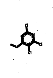 CCc1cc(Cl)nc(Cl)c1Cl